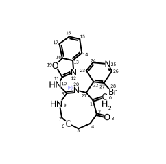 C=C1C(=O)CCCCN/C(Nc2nc3ccccc3o2)=N\C1c1ccncc1Br